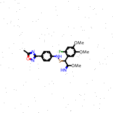 COC(=N)C(SNc1ccc(-c2noc(C)n2)cc1)c1cc(OC)c(OC)cc1F